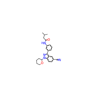 CC(C)CC(=O)Nc1cccc(-c2nn(C3CCCCO3)c3ccc(C#N)cc23)c1